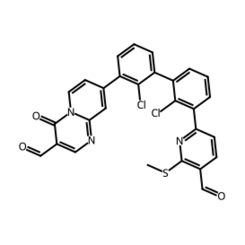 CSc1nc(-c2cccc(-c3cccc(-c4ccn5c(=O)c(C=O)cnc5c4)c3Cl)c2Cl)ccc1C=O